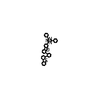 C1=CC(c2ccccc2-c2cccc3c2oc2cc(-c4nc(-c5ccccc5)nc(-c5ccccc5)n4)ccc23)=C2Sc3ccccc3C2C1